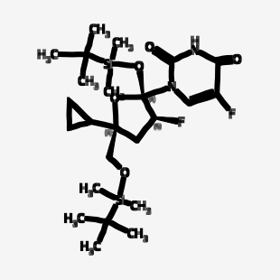 CC(C)(C)[Si](C)(C)OC[C@]1(C2CC2)C[C@H](F)[C@@](O[Si](C)(C)C(C)(C)C)(n2cc(F)c(=O)[nH]c2=O)O1